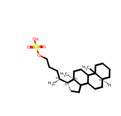 C[C@H](CCCOS(=O)(=O)O)[C@H]1CCC2C3CC[C@@H]4CCCCC4(C)C3CC[C@@]21C